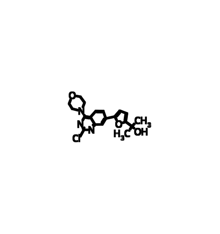 CC(C)(O)c1ccc(-c2ccc3c(N4CCOCC4)nc(Cl)nc3c2)o1